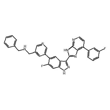 Fc1cccc(-c2ccnc3[nH]c(-c4n[nH]c5cc(F)c(-c6cncc(CNCc7ccccc7)c6)cc45)nc23)c1